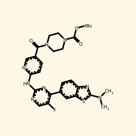 CN(C)c1nc2ccc(-c3nc(Nc4ccc(C(=O)N5CCN(C(=O)OC(C)(C)C)CC5)cn4)ncc3F)cc2s1